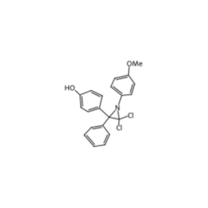 COc1ccc(N2C(Cl)(Cl)C2(c2ccccc2)c2ccc(O)cc2)cc1